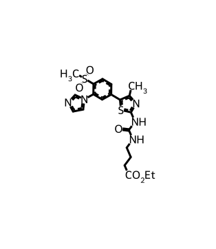 CCOC(=O)CCCNC(=O)Nc1nc(C)c(-c2ccc(S(C)(=O)=O)c(-n3ccnc3)c2)s1